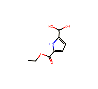 CCOC(=O)c1ccc(B(O)O)[nH]1